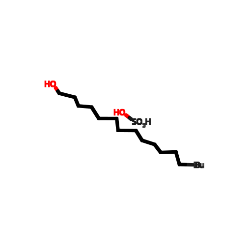 CCC(C)CCCCCCCCCCCCCO.O=S(=O)(O)O